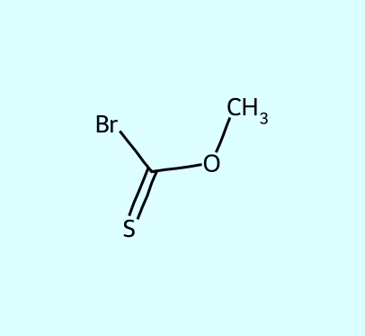 COC(=S)Br